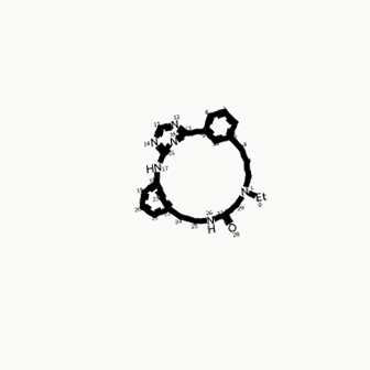 CCN1CCCc2cccc(c2)-c2ncnc(n2)Nc2cccc(c2)CCNC(=O)C1